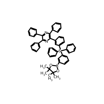 CC1(C)OB(c2cccc([Si](c3ccccc3)(c3ccccc3)c3cccc(-c4nc(-c5ccccc5)c(-c5ccccc5)nc4-c4ccccc4)c3)c2)OC1(C)C